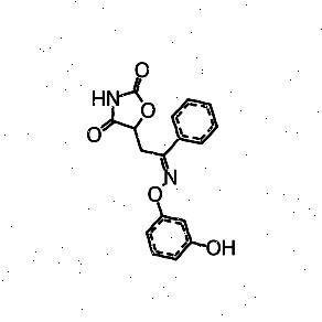 O=C1NC(=O)C(C/C(=N\Oc2cccc(O)c2)c2ccccc2)O1